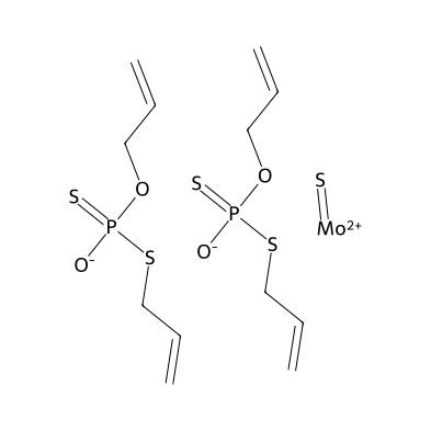 C=CCOP([O-])(=S)SCC=C.C=CCOP([O-])(=S)SCC=C.[S]=[Mo+2]